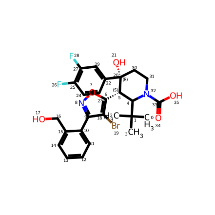 CC(C)(C)C1[C@H](c2onc(-c3ccccc3CO)c2Br)[C@@](O)(c2ccc(F)c(F)c2)CCN1C(=O)O